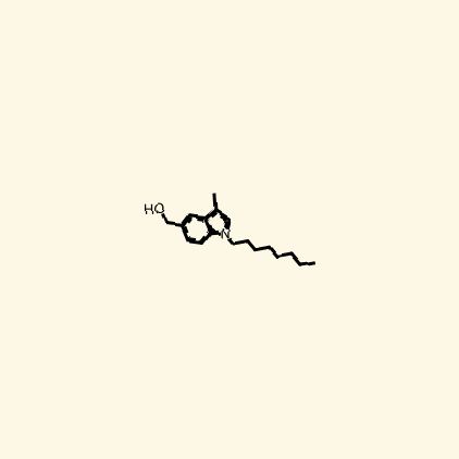 CCCCCCCCn1cc(C)c2cc(CO)ccc21